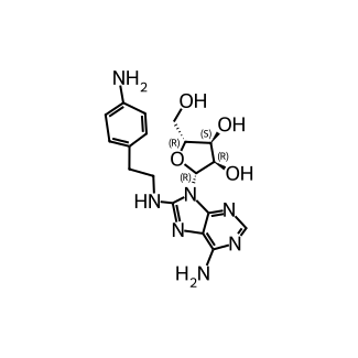 Nc1ccc(CCNc2nc3c(N)ncnc3n2[C@@H]2O[C@H](CO)[C@@H](O)[C@H]2O)cc1